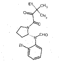 CCc1ccccc1N(C=O)[C@@H]1CCCN1C(=O)C(=O)C(C)(C)CC